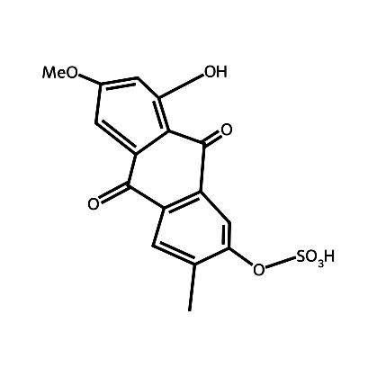 COc1cc(O)c2c(c1)C(=O)c1cc(C)c(OS(=O)(=O)O)cc1C2=O